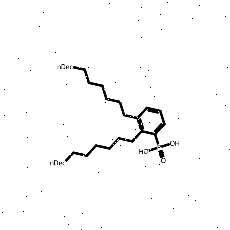 CCCCCCCCCCCCCCCCc1cccc(P(=O)(O)O)c1CCCCCCCCCCCCCCCC